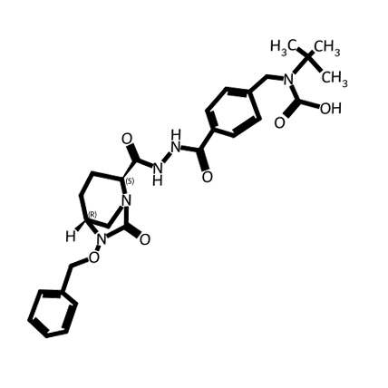 CC(C)(C)N(Cc1ccc(C(=O)NNC(=O)[C@@H]2CC[C@@H]3CN2C(=O)N3OCc2ccccc2)cc1)C(=O)O